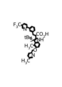 Cc1ccc(COc2ccc3[nH]c(C(Cc4cccc(-c5ccc(C(F)(F)F)cn5)c4)C(=O)O)c(SC(C)(C)C)c3c2C)nc1